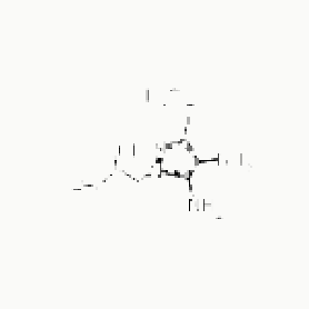 COc1nn(CC(O)CO)c(N)c1N